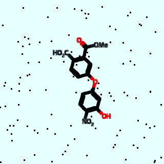 COC(=O)c1cc(Oc2ccc([N+](=O)[O-])c(O)c2)ccc1C(=O)O